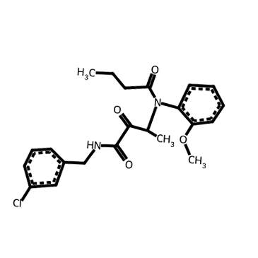 CCCC(=O)N(c1ccccc1OC)C(C)C(=O)C(=O)NCc1cccc(Cl)c1